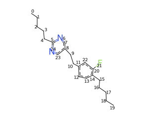 CCCCCc1ncc(CCc2ccc(CCCCC)c(F)c2)cn1